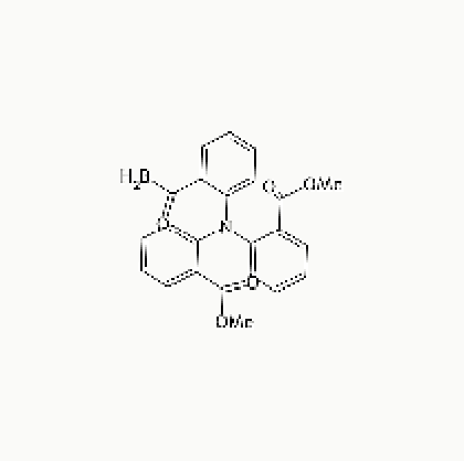 BC(=O)c1ccccc1N(c1ccccc1C(=O)OC)c1ccccc1C(=O)OC